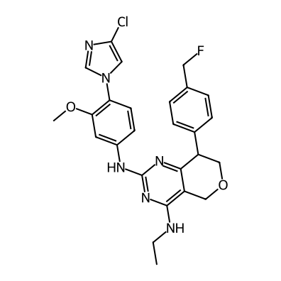 CCNc1nc(Nc2ccc(-n3cnc(Cl)c3)c(OC)c2)nc2c1COCC2c1ccc(CF)cc1